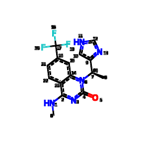 CNc1nc(=O)n([C@H](C)c2c[nH]cn2)c2cc(C(F)(F)F)ccc12